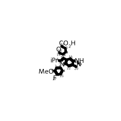 COc1cc(-n2c(C(C)C)c([C@H]3CCC(C(=O)O)OC3)c3cc4[nH]ncc4cc32)ccc1F